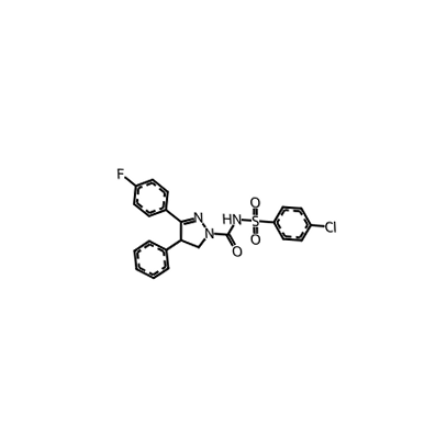 O=C(NS(=O)(=O)c1ccc(Cl)cc1)N1CC(c2ccccc2)C(c2ccc(F)cc2)=N1